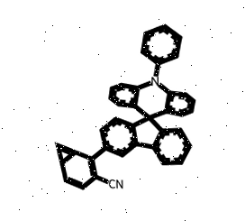 N#CC1=C(c2ccc3c(c2)-c2ccccc2C32c3ccccc3N(c3ccccc3)c3ccccc32)C2=CC2C=C1